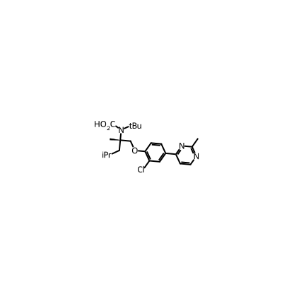 Cc1nccc(-c2ccc(OC[C@](C)(CC(C)C)N(C(=O)O)C(C)(C)C)c(Cl)c2)n1